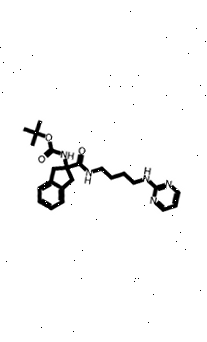 CC(C)(C)OC(=O)NC1(C(=O)NCCCCNc2ncccn2)Cc2ccccc2C1